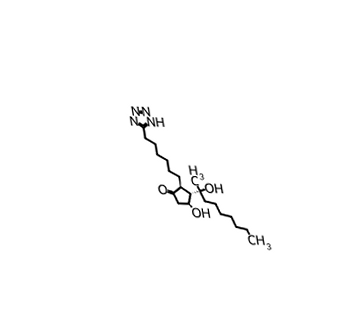 CCCCCCCC(C)(O)[C@H]1[C@H](CCCCCCc2nnn[nH]2)C(=O)C[C@@H]1O